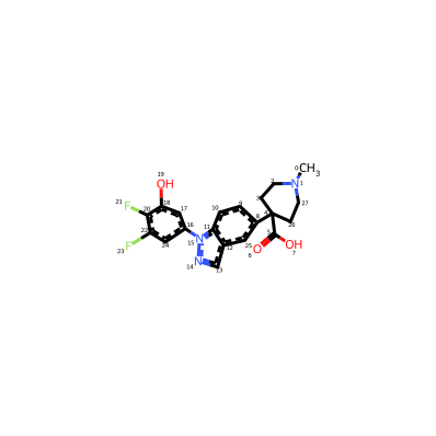 CN1CCC(C(=O)O)(c2ccc3c(cnn3-c3cc(O)c(F)c(F)c3)c2)CC1